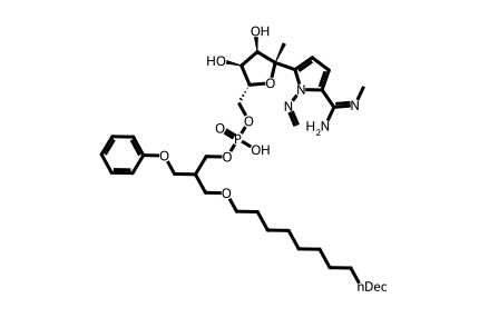 C=Nn1c(/C(N)=N\C)ccc1[C@]1(C)O[C@H](COP(=O)(O)OCC(COCCCCCCCCCCCCCCCCCC)COc2ccccc2)[C@@H](O)[C@H]1O